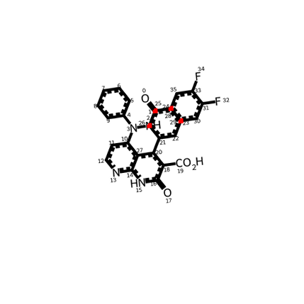 O=C(NN(c1ccccc1)c1ccnc2[nH]c(=O)c(C(=O)O)c(-c3ccccc3)c12)c1ccc(F)c(F)c1